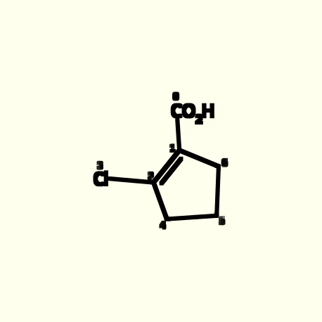 O=C(O)C1=C(Cl)CCC1